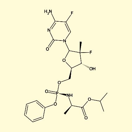 CC(C)OC(=O)[C@@H](C)N[P@@](=O)(OC[C@H]1OC(n2cc(F)c(N)nc2=O)[C@](C)(F)[C@@H]1O)Oc1ccccc1